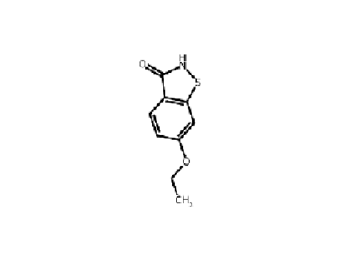 CCOc1ccc2c(=O)[nH]sc2c1